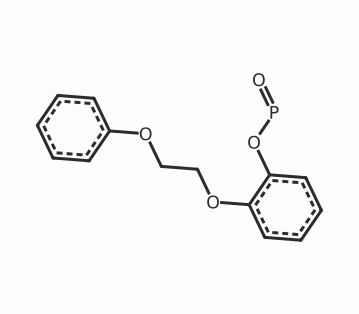 O=POc1ccccc1OCCOc1ccccc1